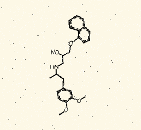 COc1ccc(CC(C)NCC(O)COc2cccc3ccccc23)cc1OC